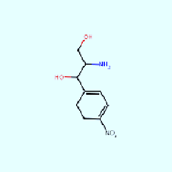 NC(CO)C(O)C1=CC=C([N+](=O)[O-])CC1